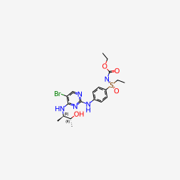 CCOC(=O)N=S(=O)(CC)c1ccc(Nc2ncc(Br)c(N[C@H](C)[C@@H](C)O)n2)cc1